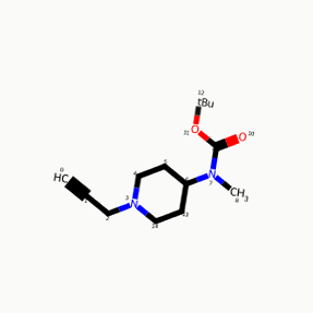 C#CCN1CCC(N(C)C(=O)OC(C)(C)C)CC1